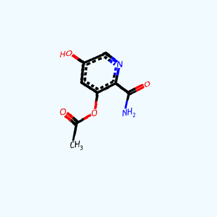 CC(=O)Oc1cc(O)cnc1C(N)=O